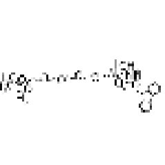 C[C@@H](NC(=O)OCC1c2ccccc2-c2ccccc21)C(=O)NCCOCCOCCOCCOCCC(=O)OC(C)(C)C